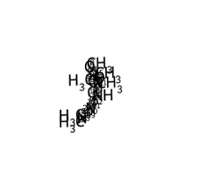 COc1cc(C)c(S(=O)(=O)N(C)CCC(=O)NC2CCC(N3CCC(CN(C)C)CC3)CC2)c(C)c1